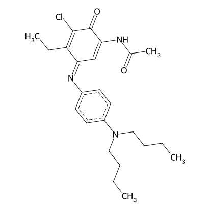 CCCCN(CCCC)c1ccc(N=C2C=C(NC(C)=O)C(=O)C(Cl)=C2CC)cc1